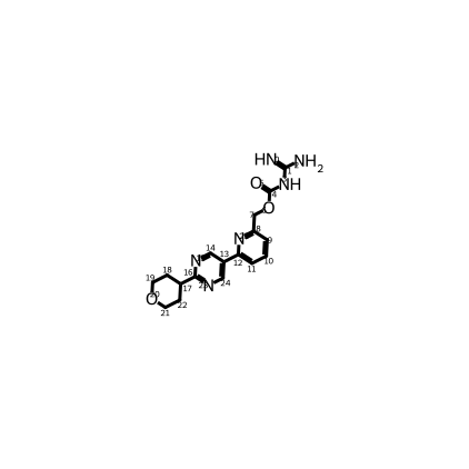 N=C(N)NC(=O)OCc1cccc(-c2cnc(C3CCOCC3)nc2)n1